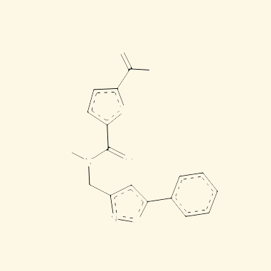 CN(Cc1cc(-c2ccccc2)on1)C(=O)c1ccc(C(=O)C(F)(F)F)s1